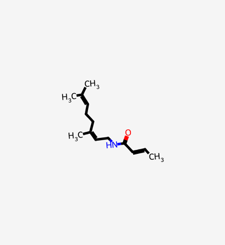 CC=CC(=O)NC/C=C(/C)CCC=C(C)C